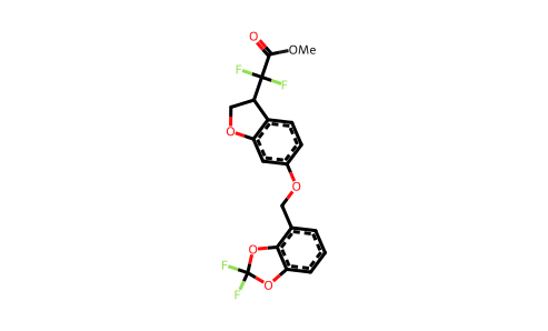 COC(=O)C(F)(F)C1COc2cc(OCc3cccc4c3OC(F)(F)O4)ccc21